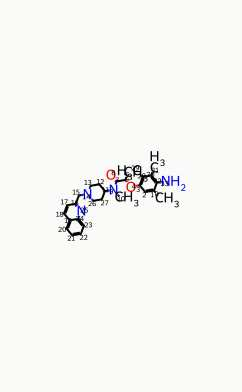 Cc1cc(OC(C)C(=O)N(C)C2CCN(Cc3ccc4ccccc4n3)CC2)c(C)c(C)c1N